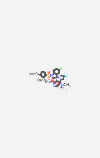 COc1ccc(S(=O)(=O)N2C(=O)[C@](c3cccnc3OC)(N3CC(F)(F)CC3C(=O)N(C)C)c3cc(Cl)ccc32)c(OC)c1